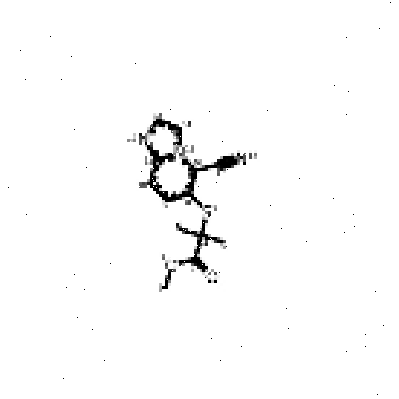 COC(=O)C(C)(C)Sc1ccc2nccn2c1C#N